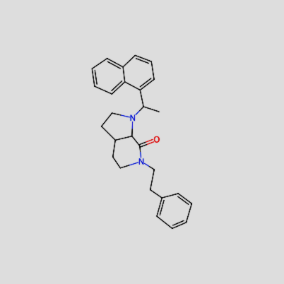 CC(c1cccc2ccccc12)N1CCC2CCN(CCc3ccccc3)C(=O)C21